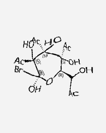 CC(=O)C(O)[C@H]1O[C@@](O)(Br)[C@@](O)(C(C)=O)[C@](O)(C(C)=O)[C@]1(O)C(C)=O